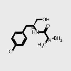 B[C@H](C)C(=O)N[C@H](CO)Cc1ccc(Cl)cc1